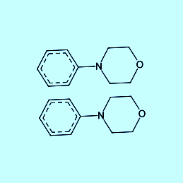 c1ccc(N2CCOCC2)cc1.c1ccc(N2CCOCC2)cc1